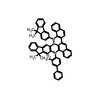 Cc1cc(-c2ccccc2)ccc1N1c2cc3c(cc2B2c4c(cc5ccccc5c41)-c1ccc4ccccc4c1N2c1ccc2c(c1)-c1ccccc1C2(C)C)-c1ccccc1C3(C)C